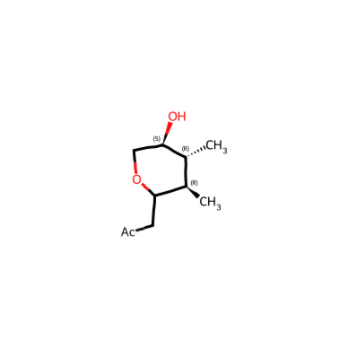 CC(=O)CC1OC[C@@H](O)[C@H](C)[C@H]1C